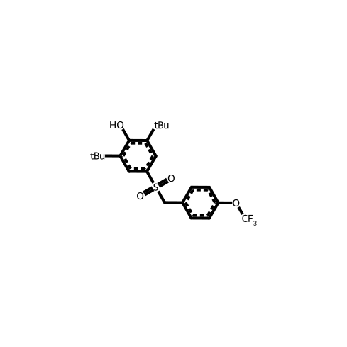 CC(C)(C)c1cc(S(=O)(=O)Cc2ccc(OC(F)(F)F)cc2)cc(C(C)(C)C)c1O